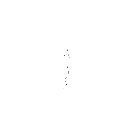 CC(C)(C)SCCCCO